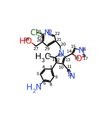 Cc1c(-c2ccc(N)cc2)c(C#N)c(-c2cnco2)n1Cc1cnc(Cl)c(CO)c1